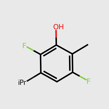 Cc1c(F)cc(C(C)C)c(F)c1O